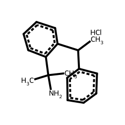 CC(c1ccccc1)c1ccccc1C(C)(C)N.Cl